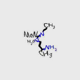 C/C=C/N=C(\NC)N(C)CCC(C)N